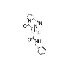 N#CC1C=CCN1C(=O)C(N)CCC(=O)NCc1ccccc1